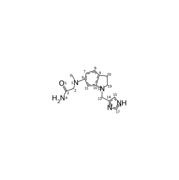 CN(CC(N)=O)c1ccc2c(c1)N(Cc1c[nH]cn1)CC2